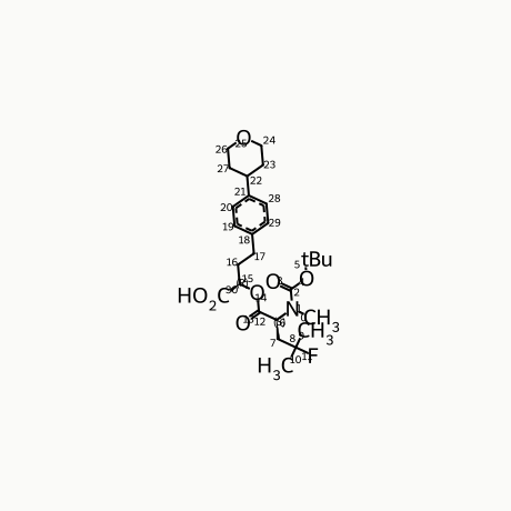 CN(C(=O)OC(C)(C)C)[C@@H](CC(C)(C)F)C(=O)O[C@H](CCc1ccc(C2CCOCC2)cc1)C(=O)O